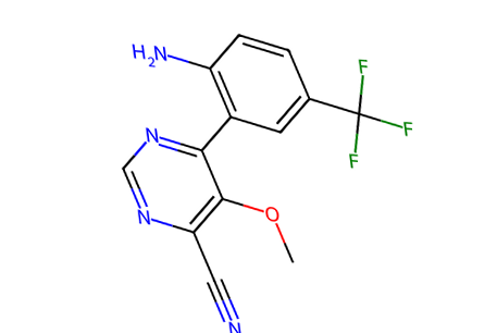 COc1c(C#N)ncnc1-c1cc(C(F)(F)F)ccc1N